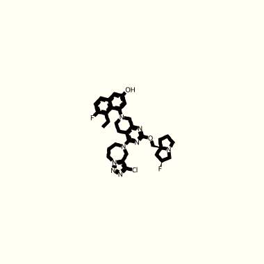 CCc1c(F)ccc2cc(O)cc(N3CCc4c(nc(OC[C@@]56CCCN5C[C@H](F)C6)nc4N4CCCn5nnc(Cl)c5C4)C3)c12